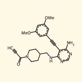 C#CC(=O)N1CCC(CNc2ncnc(N)c2C#Cc2cc(OC)cc(OC)c2)CC1